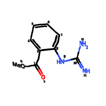 COC(=O)c1ccccc1NC(=N)N